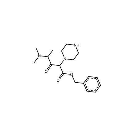 CC(C(=O)C(C(=O)OCc1ccccc1)N1CCNCC1)N(C)C